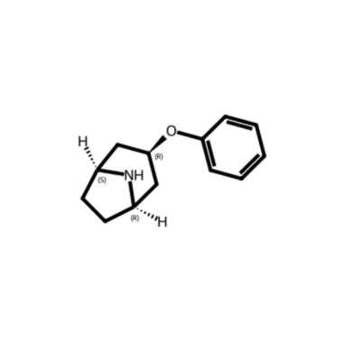 c1ccc(O[C@H]2C[C@H]3CC[C@@H](C2)N3)cc1